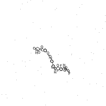 O=C1CCC(N2Cc3cc(OC[C@H]4CCN(c5ccc(-c6cnc7[nH]cc(C(=O)c8c(F)ccc(NS(=O)(=O)N9CC[C@@H](F)C9)c8F)c7c6)cc5)C4)ccc3C2=O)C(=O)N1